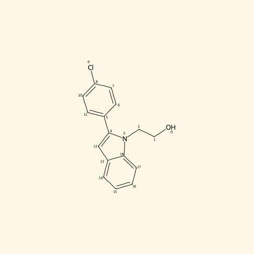 OCCn1c(-c2ccc(Cl)cc2)cc2ccccc21